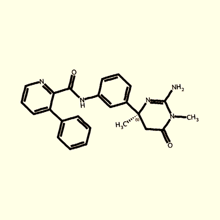 CN1C(=O)C[C@@](C)(c2cccc(NC(=O)c3ncccc3-c3ccccc3)c2)N=C1N